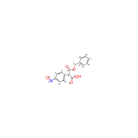 O=Nc1ccc(C(C(=O)O)C(=O)OCc2ccccc2)cc1